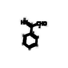 N=C(C=O)c1ccccc1